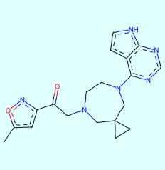 Cc1cc(C(=O)CN2CCN(c3ncnc4[nH]ccc34)CC3(CC3)C2)no1